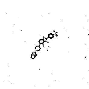 Cn1c(-c2ccc(S(C)(=O)=O)cc2)nc2ccc(C3CCN(C4CC5CCC(C4)N5)CC3)c(F)c21